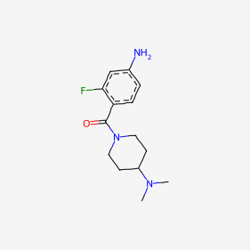 CN(C)C1CCN(C(=O)c2ccc(N)cc2F)CC1